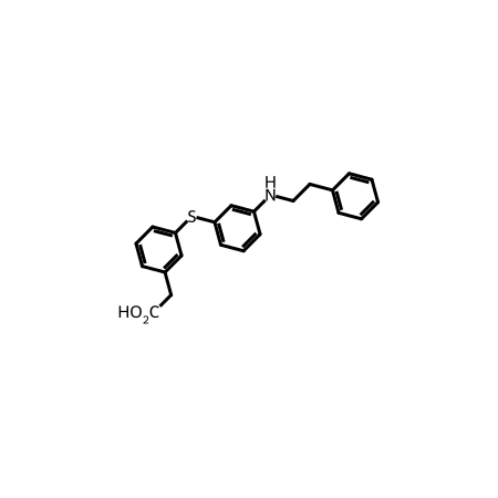 O=C(O)Cc1cccc(Sc2cccc(NCCc3ccccc3)c2)c1